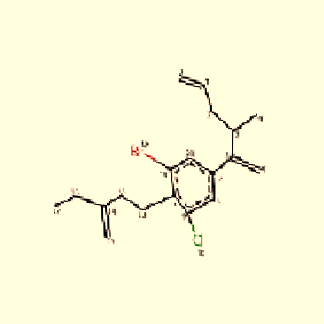 C=CCC(C)C(=C)c1cc(Cl)c(CCC(=C)CC)c(Br)c1